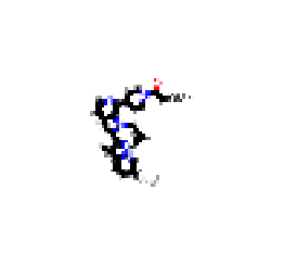 COCC(=O)N1CCC(c2nccc3cc(-c4nn5cc(C(=O)O)ccc5c4C)n(CC4CC4)c23)CC1